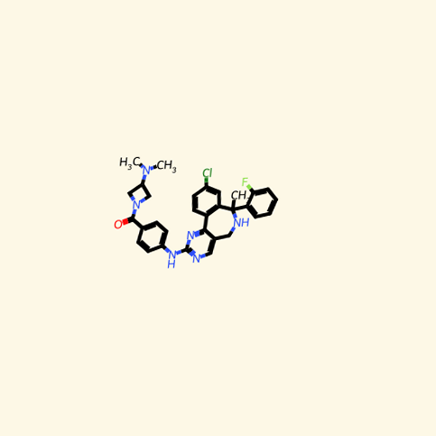 CN(C)C1CN(C(=O)c2ccc(Nc3ncc4c(n3)-c3ccc(Cl)cc3C(C)(c3ccccc3F)NC4)cc2)C1